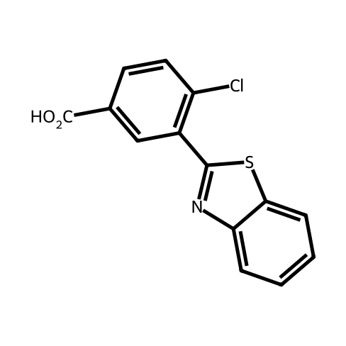 O=C(O)c1ccc(Cl)c(-c2nc3ccccc3s2)c1